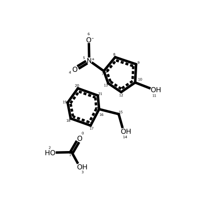 O=C(O)O.O=[N+]([O-])c1ccc(O)cc1.OCc1ccccc1